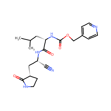 CC(C)C[C@H](NC(=O)OCc1ccncc1)C(=O)N[C@H](C#N)C[C@@H]1CCNC1=O